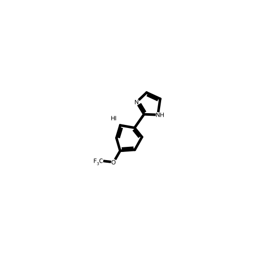 FC(F)(F)Oc1ccc(-c2ncc[nH]2)cc1.I